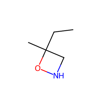 CCC1(C)CNO1